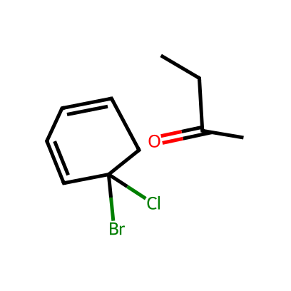 CCC(C)=O.ClC1(Br)C=CC=CC1